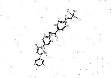 Cc1cc(-c2cccnc2)nn1-c1ccc(NC(=O)c2ccc(OCC(F)(F)F)nc2)nc1